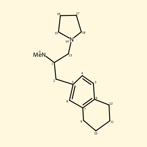 CNC(Cc1ccc2c(c1)CCCC2)CN1CCCC1